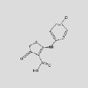 O=C(O)C1=C(Nc2ccc(Cl)cc2)SCC1=O